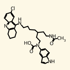 CC(=O)NCCC(CCCCNc1c2c(nc3ccc(Cl)cc13)CCCC2)CCN(C(=O)O)c1ccc2[nH]ccc2c1